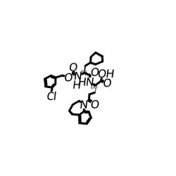 O=C(N[C@@H](CC1CCCCC1)C(=O)N[C@@H](CCC(=O)N1CCCCc2ccccc21)C(=O)O)OCc1cccc(Cl)c1